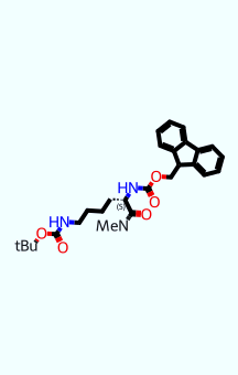 CNC(=O)[C@H](CCCCNC(=O)OC(C)(C)C)NC(=O)OCC1c2ccccc2-c2ccccc21